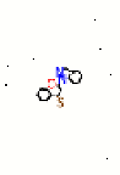 S=c1cc(-n2ncc3ccccc32)oc2ccccc12